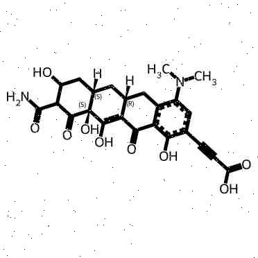 CN(C)c1cc(C#CC(=O)O)c(O)c2c1C[C@H]1C[C@H]3CC(O)C(C(N)=O)C(=O)[C@@]3(O)C(O)=C1C2=O